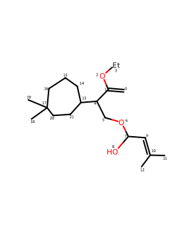 C=C(OCC)C(COC(O)C=C(C)C)C1CCCC(C)(C)CC1